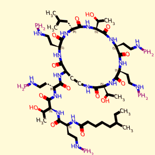 CCC(C)CCCCC(=O)N[C@@H](CCNP)C(=O)N[C@H](C(=O)N[C@H](CCNP)C(=O)NC1CCNC(=O)[C@H](C(C)O)NC(=O)[C@H](CCNP)NC(=O)[C@H](CCNP)NC(=O)[C@H](C(C)O)NC(=O)[C@@H](CC(C)C)NC(=O)[C@H](CCNP)NC1=O)C(C)O